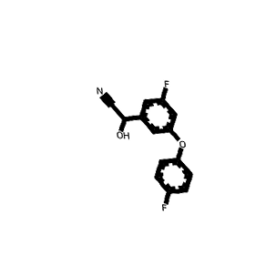 N#CC(O)c1cc(F)cc(Oc2ccc(F)cc2)c1